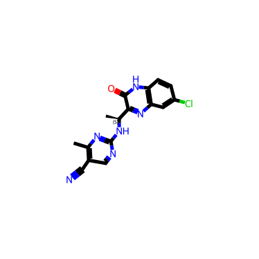 Cc1nc(N[C@@H](C)c2nc3cc(Cl)ccc3[nH]c2=O)ncc1C#N